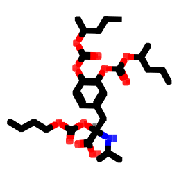 CCCCOC(=O)O[C@](Cc1ccc(OC(=O)OC(C)CCC)c(OC(=O)OC(C)CCC)c1)(NC(C)C)C(=O)O